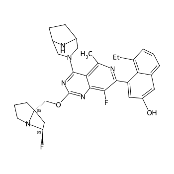 CCc1cccc2cc(O)cc(-c3nc(C)c4c(N5CC6CCC(C5)N6)nc(OC[C@@]56CCCN5[C@H](F)C6)nc4c3F)c12